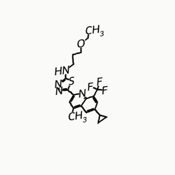 CCOCCCNc1nnc(-c2cc(C)c3cc(C4CC4)cc(C(F)(F)F)c3n2)s1